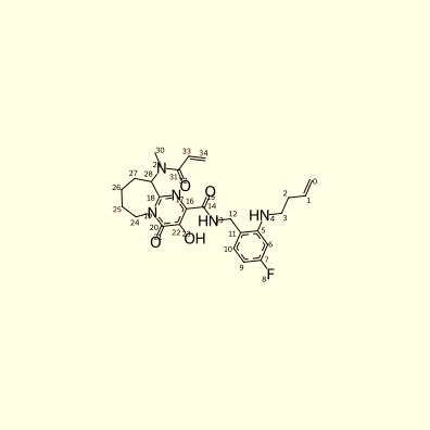 C=CCCNc1cc(F)ccc1CNC(=O)c1nc2n(c(=O)c1O)CCCCC2N(C)C(=O)C=C